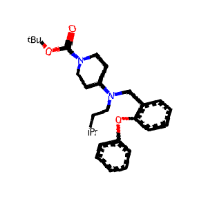 CC(C)CCN(Cc1ccccc1Oc1ccccc1)C1CCN(C(=O)OC(C)(C)C)CC1